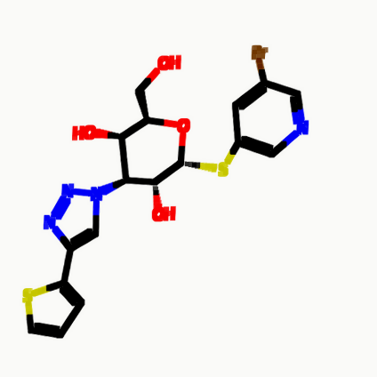 OC[C@H]1O[C@H](Sc2cncc(Br)c2)[C@H](O)[C@@H](n2cc(-c3cccs3)nn2)[C@H]1O